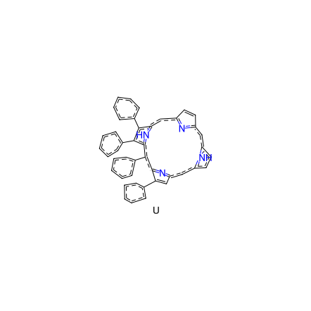 C1=Cc2cc3[nH]c(c(-c4ccccc4)c4nc(cc5ccc(cc1n2)[nH]5)C=C4c1ccccc1)c(-c1ccccc1)c3-c1ccccc1.[U]